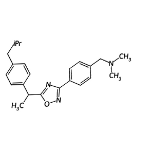 CC(C)Cc1ccc(C(C)c2nc(-c3ccc(CN(C)C)cc3)no2)cc1